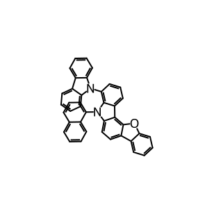 c1ccc2c(-n3c4ccc5c6ccccc6oc5c4c4cccc(-n5c6ccccc6c6ccccc65)c43)cccc2c1